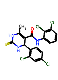 CC1=C(C(=O)Nc2cccc(Cl)c2Cl)C(c2ccc(Cl)cc2Cl)NC(=S)N1